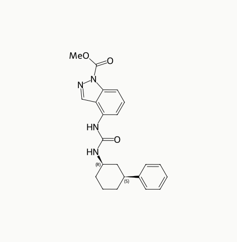 COC(=O)n1ncc2c(NC(=O)N[C@@H]3CCC[C@H](c4ccccc4)C3)cccc21